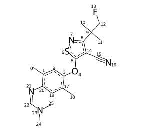 Cc1cc(Oc2snc(C(C)(C)CF)c2C#N)c(C)cc1/N=C\N(C)C